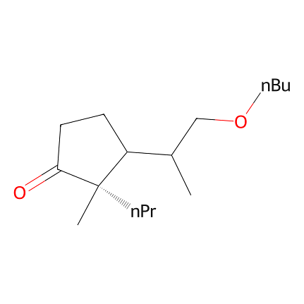 CCCCOCC(C)C1CCC(=O)[C@@]1(C)CCC